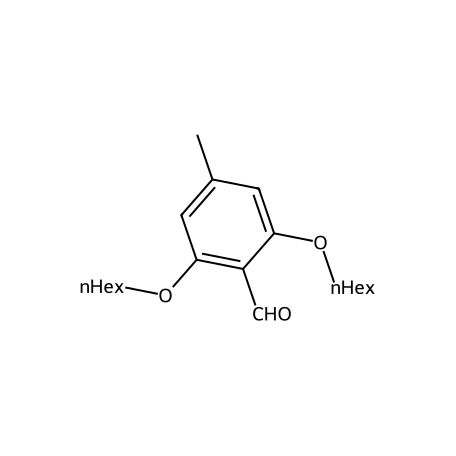 CCCCCCOc1cc(C)cc(OCCCCCC)c1C=O